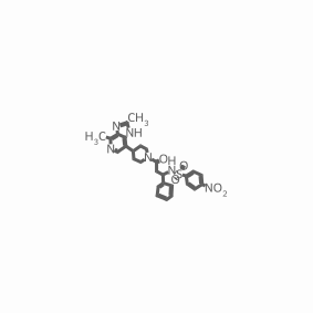 Cc1nc2c(C)ncc(C3CCN(C(=O)CC(NS(=O)(=O)c4ccc([N+](=O)[O-])cc4)c4ccccc4)CC3)c2[nH]1